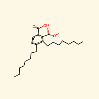 CCCCCCCCc1ccc(C(=O)O)c(C(=O)OC)c1CCCCCCCC